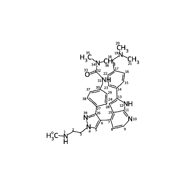 CNCCn1cc(-c2ccnc3[nH]c(-c4ccc(CN(C)C)cc4)cc23)c(-c2ccc(NC(=O)N(C)C)cc2)n1